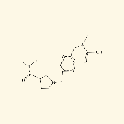 CN(C)C(=O)C1CCN(Cc2ccc(CN(C)C(=O)O)cc2)C1